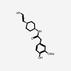 CCC/C=C/[C@H]1CC[C@@H](NC(=O)Cc2ccc(O)c(OC)c2)CC1